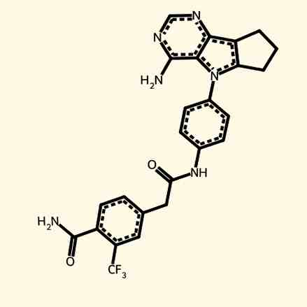 NC(=O)c1ccc(CC(=O)Nc2ccc(-n3c4c(c5ncnc(N)c53)CCC4)cc2)cc1C(F)(F)F